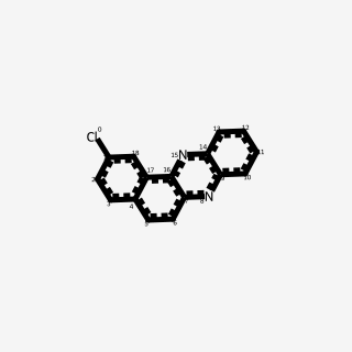 Clc1ccc2ccc3nc4ccccc4nc3c2c1